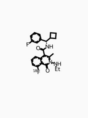 CCNn1c(C)c(C(=O)N[C@H](c2cccc(F)c2)C2CCC2)c2cccc([18F])c2c1=O